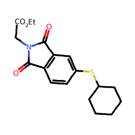 CCOC(=O)CN1C(=O)c2ccc(SC3CCCCC3)cc2C1=O